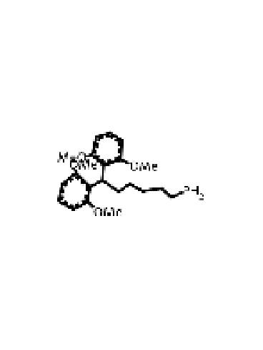 COc1cccc(OC)c1C(CCCCCP)c1c(OC)cccc1OC